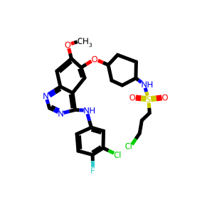 COc1cc2ncnc(Nc3ccc(F)c(Cl)c3)c2cc1OC1CCC(NS(=O)(=O)CCCCl)CC1